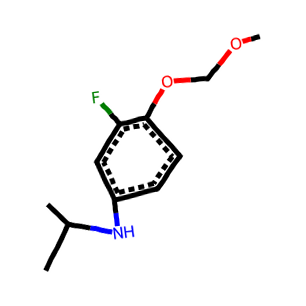 COCOc1ccc(NC(C)C)cc1F